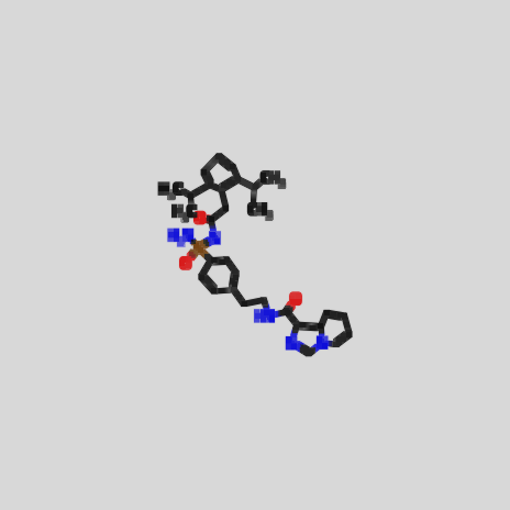 CC(C)c1cccc(C(C)C)c1CC(=O)N=S(N)(=O)c1ccc(CCNC(=O)c2ncn3ccccc23)cc1